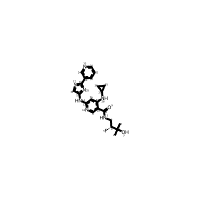 CC(C)(O)[C@H](F)CNC(=O)c1cnc(Nc2csc(-c3cccnc3)n2)cc1NC1CC1